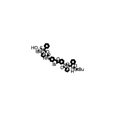 CC(C)(C)OC(=O)N[C@@H](C(=O)N1CCC[C@H]1C(=O)Nc1ccc2oc(-c3ccc(NC(=O)[C@@H]4CCCN4C(=O)[C@@H](c4ccccc4)N(C(=O)O)C(C)(C)C)cc3)c(Br)c2c1)c1ccccc1